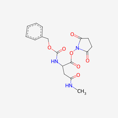 CNC(=O)CC(NC(=O)OCc1ccccc1)C(=O)ON1C(=O)CCC1=O